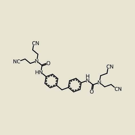 N#CCCN(CCC#N)C(=O)Nc1ccc(Cc2ccc(NC(=O)N(CCC#N)CCC#N)cc2)cc1